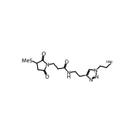 CSC1CC(=O)N(CCC(=O)NCCc2cn(CC[18F])nn2)C1=O